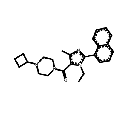 CCn1c(-c2cccc3ccccc23)nc(C)c1C(=O)N1CCN(C2CCC2)CC1